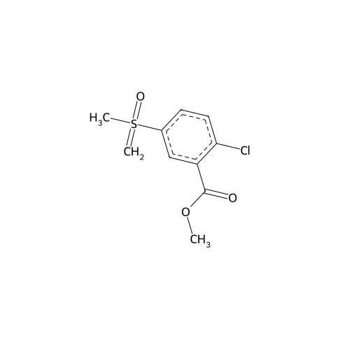 C=S(C)(=O)c1ccc(Cl)c(C(=O)OC)c1